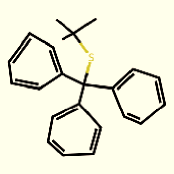 CC(C)(C)SC(c1ccccc1)(c1ccccc1)c1ccccc1